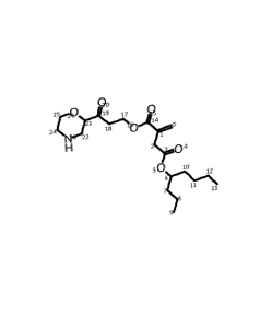 C=C(CC(=O)OC(CCC)CCCC)C(=O)OCCC(=O)C1CNCCO1